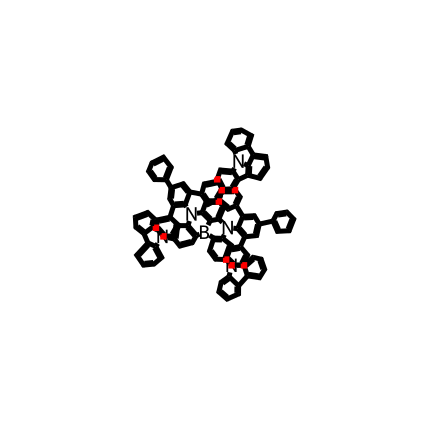 c1ccc(-c2cc(-c3ccccc3)c(N3c4cc(-n5c6ccccc6c6ccccc65)ccc4B4c5ccc(-n6c7ccccc7c7ccccc76)cc5N(c5c(-c6ccccc6)cc(-c6ccccc6)cc5-c5ccccc5)c5cc(-c6ccc7c(c6)c6cccc8c9ccccc9n7c86)cc3c54)c(-c3ccccc3)c2)cc1